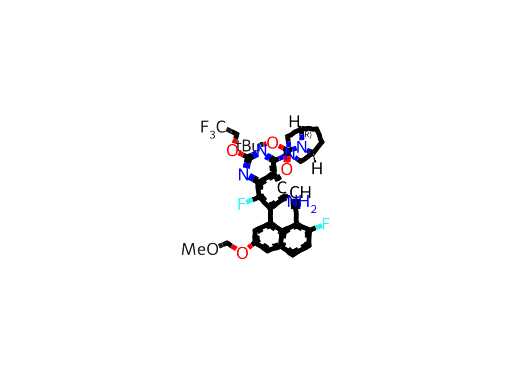 C#Cc1c(F)ccc2cc(OCOC)cc(-c3c(N)cc4c(N5C[C@H]6CC[C@@H](C5)N6C(=O)OC(C)(C)C)nc(OCC(F)(F)F)nc4c3F)c12